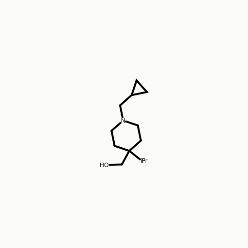 CC(C)C1(CO)CCN(CC2CC2)CC1